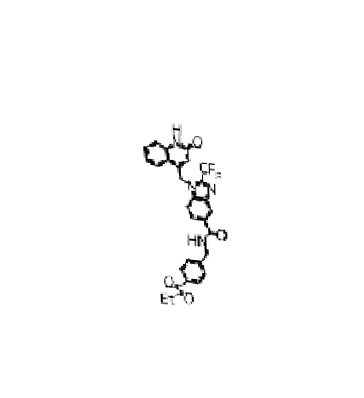 CCS(=O)(=O)c1ccc(CNC(=O)c2ccc3c(c2)nc(C(F)(F)F)n3Cc2cc(=O)[nH]c3ccccc23)cc1